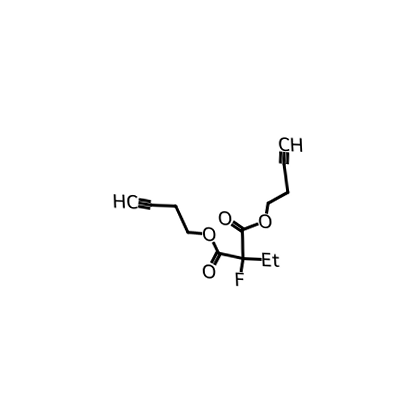 C#CCCOC(=O)C(F)(CC)C(=O)OCCC#C